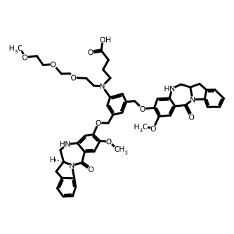 COCCOCCOCCN(CCCC(=O)O)c1cc(COc2cc3c(cc2OC)C(=O)N2c4ccccc4CC2CN3)cc(COc2cc3c(cc2OC)C(=O)N2c4ccccc4C[C@H]2CN3)c1